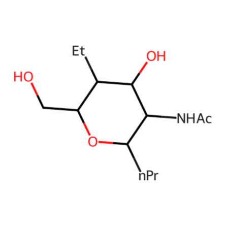 CCCC1OC(CO)C(CC)C(O)C1NC(C)=O